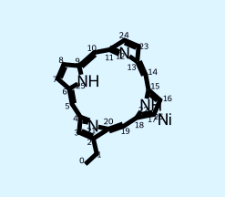 CCC1=Cc2cc3ccc(cc4nc(cc5ccc(cc1n2)[nH]5)C=C4)[nH]3.[Ni]